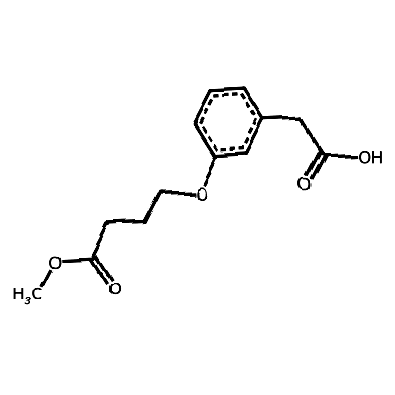 COC(=O)CCCOc1cccc(CC(=O)O)c1